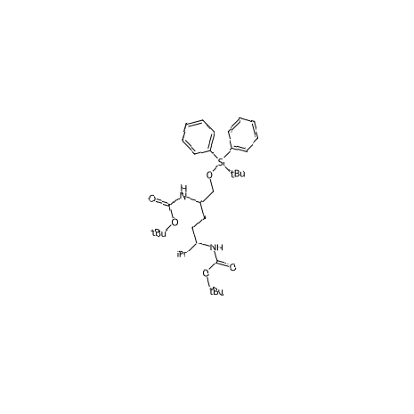 CC(C)C(CCC(CO[Si](c1ccccc1)(c1ccccc1)C(C)(C)C)NC(=O)OC(C)(C)C)NC(=O)OC(C)(C)C